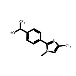 Cn1cc(C(F)(F)F)nc1-c1ccc(C(O)C(F)(F)F)cc1